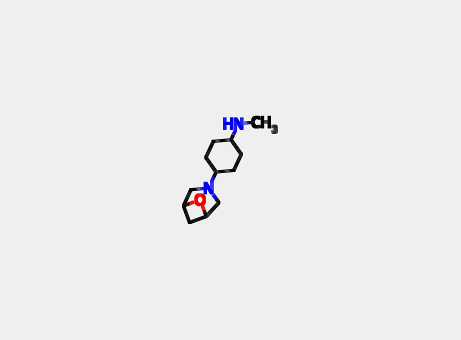 CNC1CCC(N2CC3CC(C2)O3)CC1